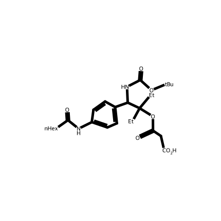 CCCCCCC(=O)Nc1ccc(C(NC(=O)OC(C)(C)C)C(CC)(CC)OC(=O)CC(=O)O)cc1